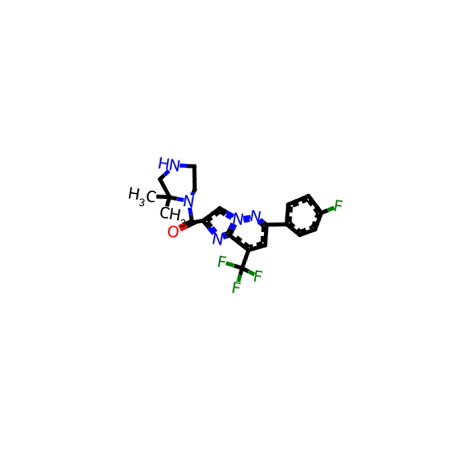 CC1(C)CNCCN1C(=O)c1cn2nc(-c3ccc(F)cc3)cc(C(F)(F)F)c2n1